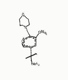 COc1cc(C(C)(C)N)cnc1N1CCOCC1